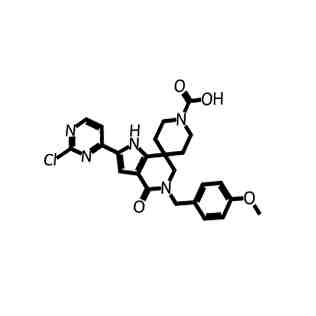 COc1ccc(CN2CC3(CCN(C(=O)O)CC3)c3[nH]c(-c4ccnc(Cl)n4)cc3C2=O)cc1